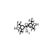 CC(C)(C1CC(C(F)(F)F)C(O)C(C(F)(F)F)C1)C1CC(C(F)(F)F)C(O)C(C(F)(F)F)C1